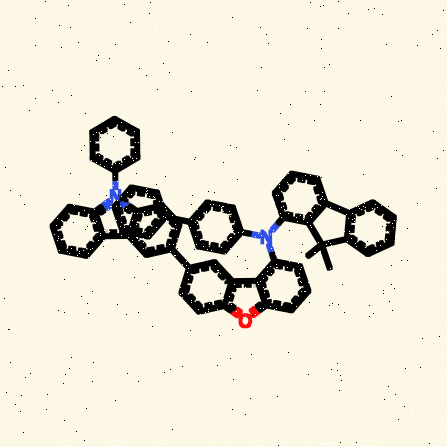 CC1(C)c2ccccc2-c2cccc(N(c3ccc(-c4ccccc4)cc3)c3cccc4oc5ccc(-c6ccc7c(c6)c6ccccc6n7-c6ccccc6)cc5c34)c21